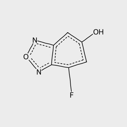 Oc1cc(F)c2nonc2c1